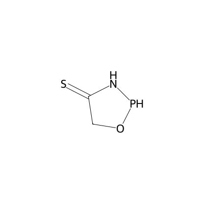 S=C1COPN1